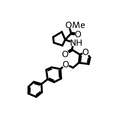 COC(=O)C1(NC(=O)c2occc2COc2ccc(-c3ccccc3)cc2)CCCC1